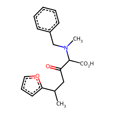 CC(CC(=O)C(C(=O)O)N(C)Cc1ccccc1)c1ccco1